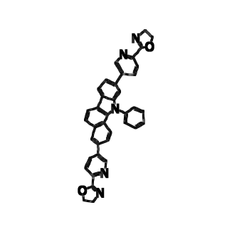 c1ccc(-n2c3cc(-c4ccc(C5=NCCO5)nc4)ccc3c3ccc4cc(-c5ccc(C6=NCCO6)nc5)ccc4c32)cc1